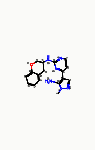 Cn1ncc(-c2ccnc(NC3COc4ccccc4C3)n2)c1N